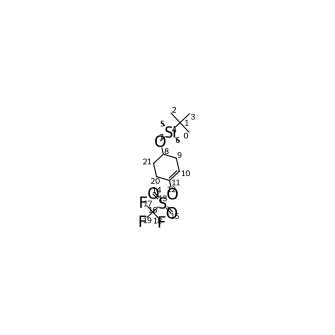 CC(C)(C)[Si](C)(C)OC1CC=C(OS(=O)(=O)C(F)(F)F)CC1